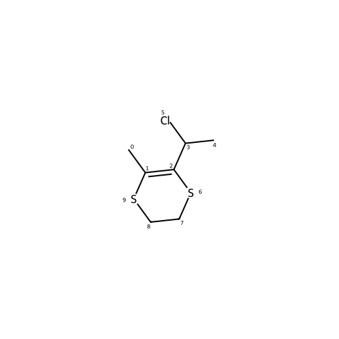 CC1=C(C(C)Cl)SCCS1